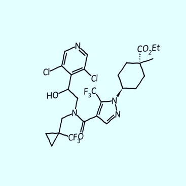 CCOC(=O)[C@]1(C)CC[C@@H](n2ncc(C(=O)N(CC(O)c3c(Cl)cncc3Cl)CC3(C(F)(F)F)CC3)c2C(F)(F)F)CC1